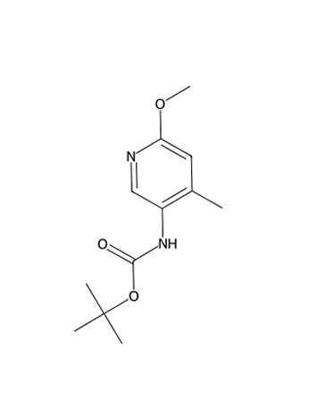 COc1cc(C)c(NC(=O)OC(C)(C)C)cn1